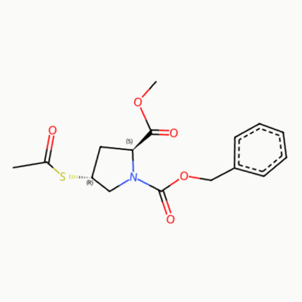 COC(=O)[C@@H]1C[C@@H](SC(C)=O)CN1C(=O)OCc1ccccc1